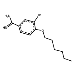 CCCCCCOc1ccc(C(=N)N)cc1Br